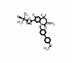 COc1ccc(-c2ccc(CN3C(=O)[C@H](N)CC(F)(F)c4cc(F)c(-c5nnc(C(C)(C)C#N)o5)cc43)cc2)cc1